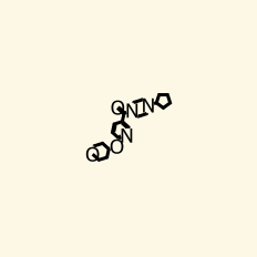 O=C(c1ccc(OC2CCOCC2)nc1)N1CCN(C2CCCC2)CC1